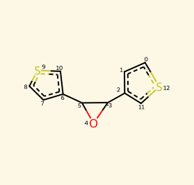 c1cc([C]2OC2c2ccsc2)cs1